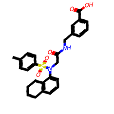 Cc1ccc(S(=O)(=O)N(CC(=O)NCc2cccc(C(=O)O)c2)c2cccc3c2CCCC3)cc1